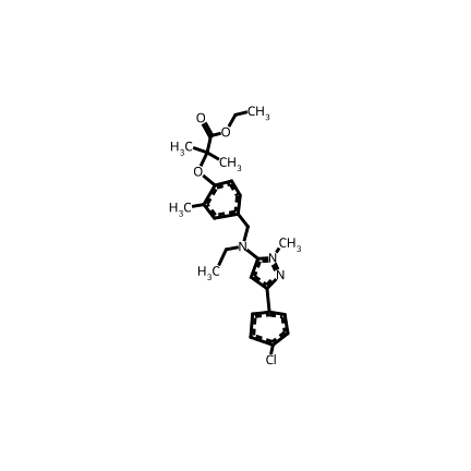 CCOC(=O)C(C)(C)Oc1ccc(CN(CC)c2cc(-c3ccc(Cl)cc3)nn2C)cc1C